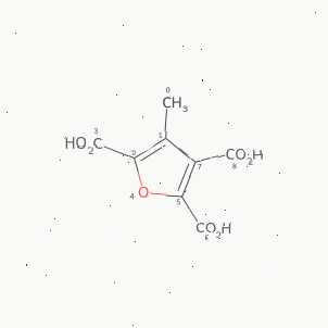 Cc1c(C(=O)O)oc(C(=O)O)c1C(=O)O